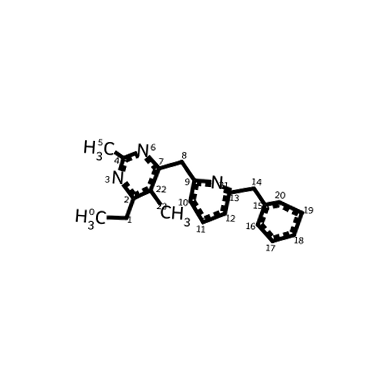 CCc1nc(C)nc(Cc2cccc(Cc3ccccc3)n2)c1C